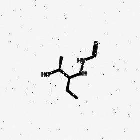 CC[C@H](NNC=O)[C@H](C)O